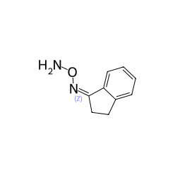 NO/N=C1/CCc2ccccc21